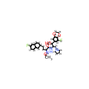 CO/N=C(\CCc1ccc2cc(F)ccc2c1)C(=O)N[C@H](CN1CCCC1)[C@H](O)c1cc(F)c2c(c1)OCCO2